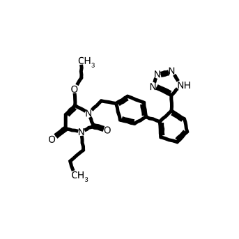 CCCn1c(=O)cc(OCC)n(Cc2ccc(-c3ccccc3-c3nnn[nH]3)cc2)c1=O